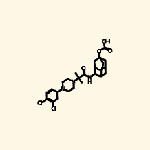 CC(C)(C(=O)NC1C2CC3CC1CC(OC(=O)O)(C3)C2)N1CCN(c2ccc(Cl)c(Cl)c2)CC1